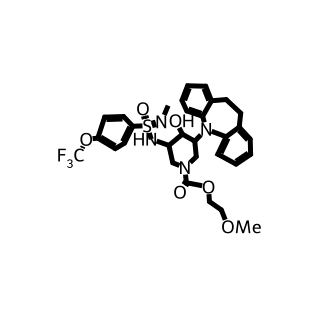 CN=S(=O)(NC1CN(C(=O)OCCOC)CC(N2c3ccccc3CCc3ccccc32)C1O)c1ccc(OC(F)(F)F)cc1